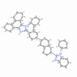 c1ccc(-n2c(-c3ccc4cc(-c5ccc6c(c5)c5ccccc5n5c6nc6c7ccccc7c7ccccc7c65)ccc4c3)nc3ccccc32)cc1